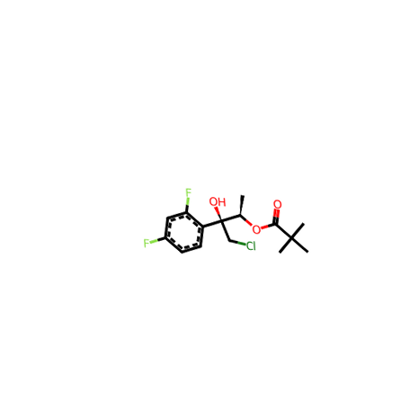 C[C@@H](OC(=O)C(C)(C)C)[C@](O)(CCl)c1ccc(F)cc1F